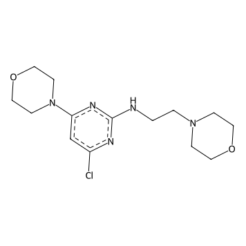 Clc1cc(N2CCOCC2)nc(NCCN2CCOCC2)n1